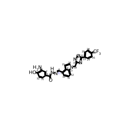 Nc1cc(C(=O)N/N=C/c2cccc3c2ccn3Cc2noc(-c3ccc(C(F)(F)F)cc3)n2)ccc1O